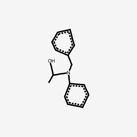 CC(O)N(Cc1ccccc1)c1ccccc1